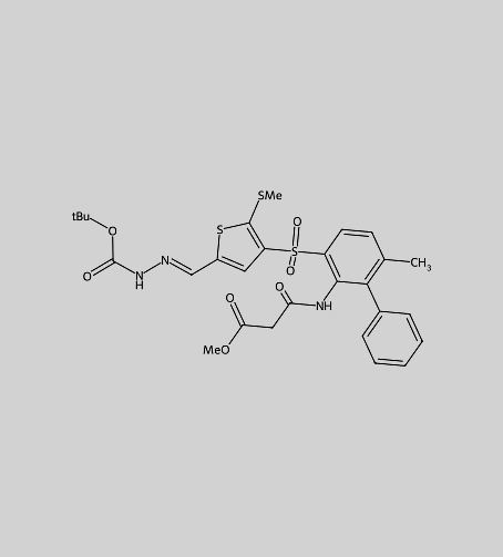 COC(=O)CC(=O)Nc1c(S(=O)(=O)c2cc(C=NNC(=O)OC(C)(C)C)sc2SC)ccc(C)c1-c1ccccc1